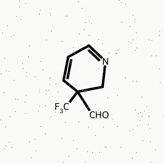 O=CC1(C(F)(F)F)C=CC=NC1